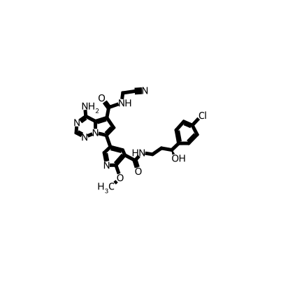 COc1ncc(-c2cc(C(=O)NCC#N)c3c(N)ncnn23)cc1C(=O)NCC[C@H](O)c1ccc(Cl)cc1